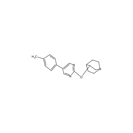 Cc1ccc(-c2cnc(OC3CN4CCC3CC4)nc2)cc1